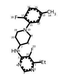 CCc1ncnc(NC2CCN(c3cc(C)ccc3F)CC2)c1F